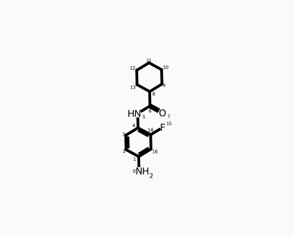 Nc1ccc(NC(=O)C2CCCCC2)c(F)c1